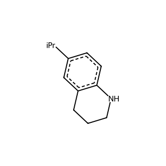 CC(C)c1ccc2c(c1)CCCN2